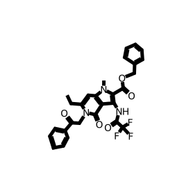 CCc1cc2c(c(NC(=O)C(F)(F)F)c(C(=O)OCc3ccccc3)n2C)c(=O)n1CC(=O)c1ccccc1